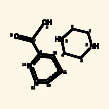 C1CNCCN1.O=C(O)c1cccnn1